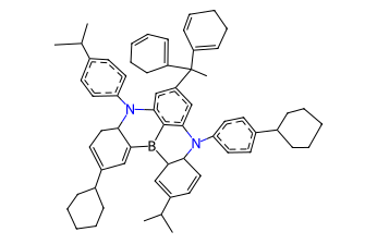 CC(C)C1=CC2B3C4=CC(C5CCCCC5)=CCC4N(c4ccc(C(C)C)cc4)c4cc(C(C)(C5=CCCC=C5)C5=CC=CCC5)cc(c43)N(c3ccc(C4CCCCC4)cc3)C2C=C1